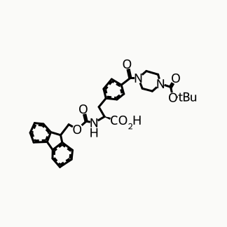 CC(C)(C)OC(=O)N1CCN(C(=O)c2ccc(C[C@H](NC(=O)OCC3c4ccccc4-c4ccccc43)C(=O)O)cc2)CC1